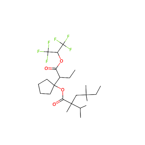 CCC(C(=O)OC(C(F)(F)F)C(F)(F)F)C1(OC(=O)C(C)(CC(C)(C)CC)C(C)C)CCCC1